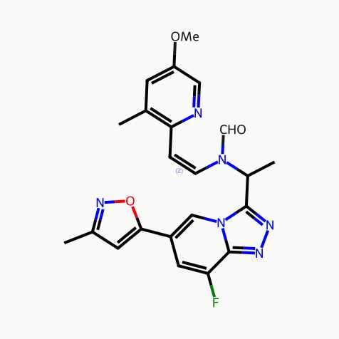 COc1cnc(/C=C\N(C=O)C(C)c2nnc3c(F)cc(-c4cc(C)no4)cn23)c(C)c1